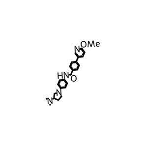 COc1ccc(-c2ccc(C(=O)Nc3ccc(N4CCC(N(C)C)C4)cc3)cc2)cn1